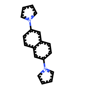 c1ccn(-c2ccc3cc(-n4cccc4)ccc3c2)c1